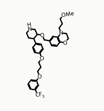 COCCCN1CCOc2ccc(COC3CNCCC3c3ccc(OCCCOc4cccc(C(F)(F)F)c4)cc3)cc21